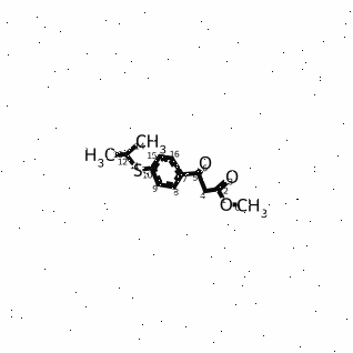 COC(=O)CC(=O)c1ccc(SC(C)C)cc1